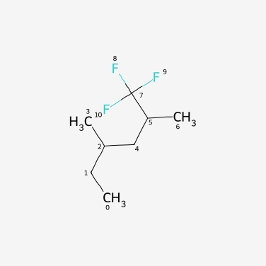 CCC(C)CC(C)C(F)(F)F